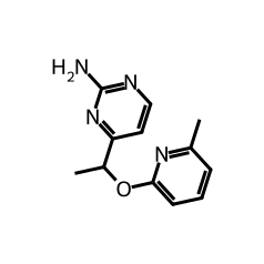 Cc1cccc(OC(C)c2ccnc(N)n2)n1